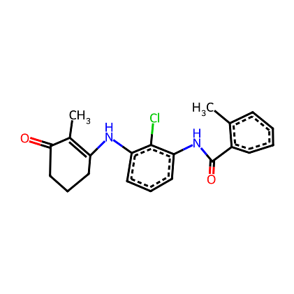 CC1=C(Nc2cccc(NC(=O)c3ccccc3C)c2Cl)CCCC1=O